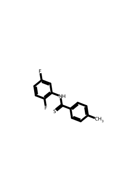 Cc1ccc(C(=S)Nc2cc(F)ccc2F)cc1